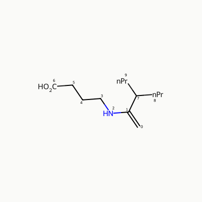 C=C(NCCCC(=O)O)C(CCC)CCC